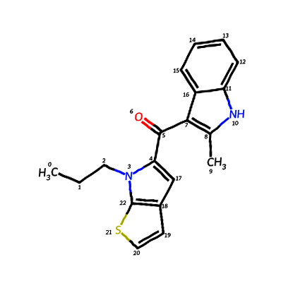 CCCn1c(C(=O)c2c(C)[nH]c3ccccc23)cc2ccsc21